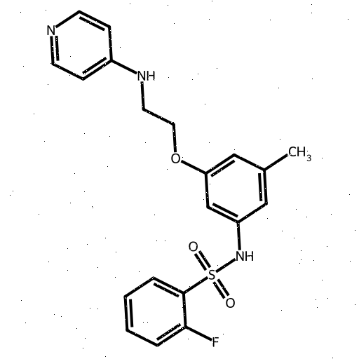 Cc1cc(NS(=O)(=O)c2ccccc2F)cc(OCCNc2ccncc2)c1